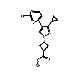 COC(=O)C1CC(n2cc(-c3cccc(Cl)n3)c(C3CC3)n2)C1